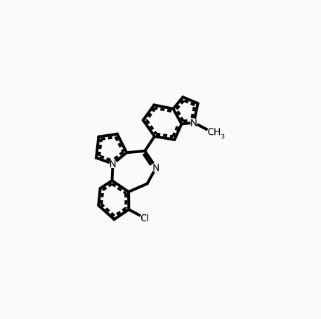 Cn1ccc2ccc(C3=NCc4c(Cl)cccc4-n4cccc43)cc21